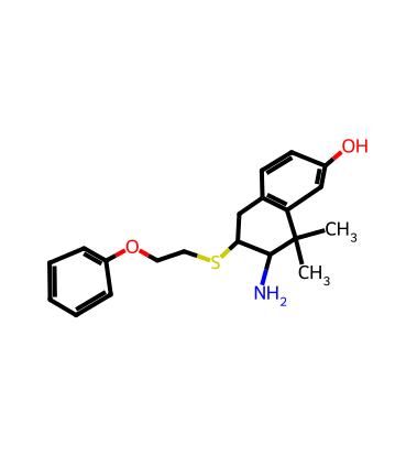 CC1(C)c2cc(O)ccc2CC(SCCOc2ccccc2)C1N